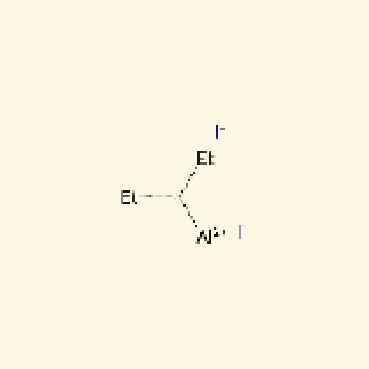 CC[CH]([Al+2])CC.[I-].[I-]